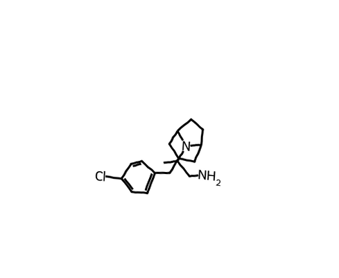 CC(CN)N1C2CCC1CC(Cc1ccc(Cl)cc1)C2